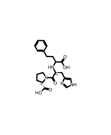 O=C(O)C(CCc1ccccc1)N[C@@H](Cc1c[nH]cn1)C(=O)N1CCC[C@H]1C(=O)O